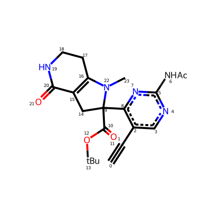 C#Cc1cnc(NC(C)=O)nc1C1(C(=O)OC(C)(C)C)CC2=C(CCNC2=O)N1C